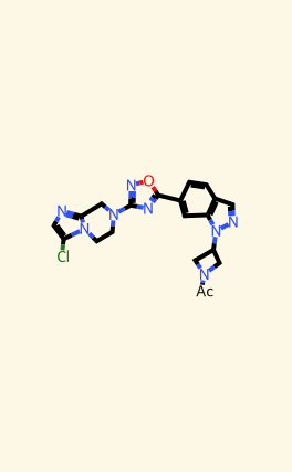 CC(=O)N1CC(n2ncc3ccc(-c4nc(N5CCn6c(Cl)cnc6C5)no4)cc32)C1